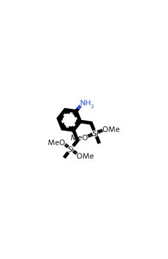 CO[Si](C)(Cc1cccc(N)c1C[Si](C)(OC)OC)OC